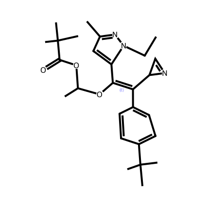 CCn1nc(C)cc1/C(OC(C)OC(=O)C(C)(C)C)=C(/c1ccc(C(C)(C)C)cc1)C1C=N1